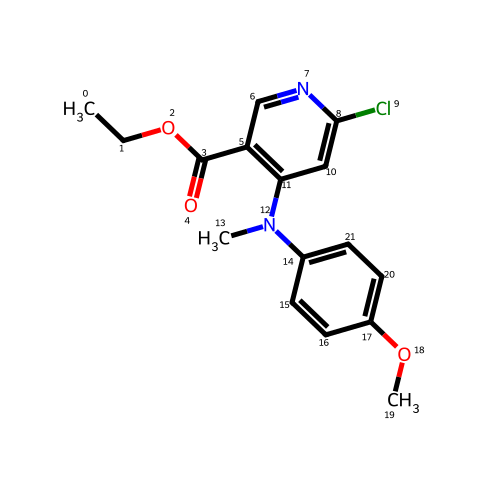 CCOC(=O)c1cnc(Cl)cc1N(C)c1ccc(OC)cc1